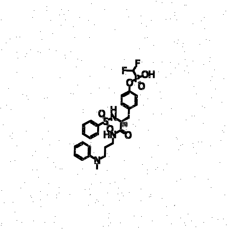 CN(CCCNC(=O)[C@H](Cc1ccc(OP(=O)(O)C(F)F)cc1)NS(=O)(=O)c1ccccc1)c1ccccc1